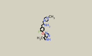 Cc1c[nH]c2ncnc(Oc3ccc(CC(N)CN4CCN(C)CC4)cc3F)c12